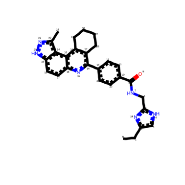 CCc1c[nH]c(CNC(=O)c2ccc(-c3nc4ccc5[nH]nc(C)c5c4c4c3CCCC4)cc2)n1